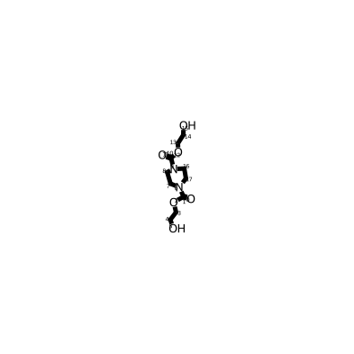 O=C(OCCO)N1CCN(C(=O)OCCO)CC1